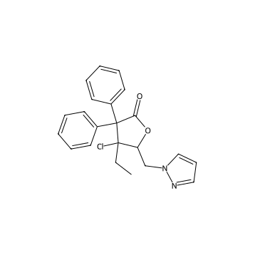 CCC1(Cl)C(Cn2cccn2)OC(=O)C1(c1ccccc1)c1ccccc1